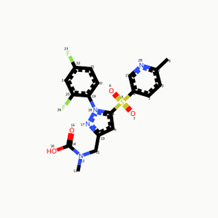 Cc1ccc(S(=O)(=O)c2cc(CN(C)C(=O)O)nn2-c2ccc(F)cc2F)cn1